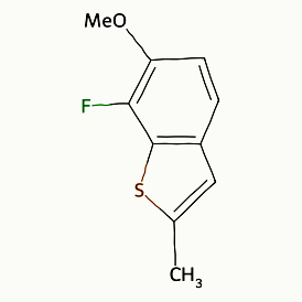 COc1ccc2cc(C)sc2c1F